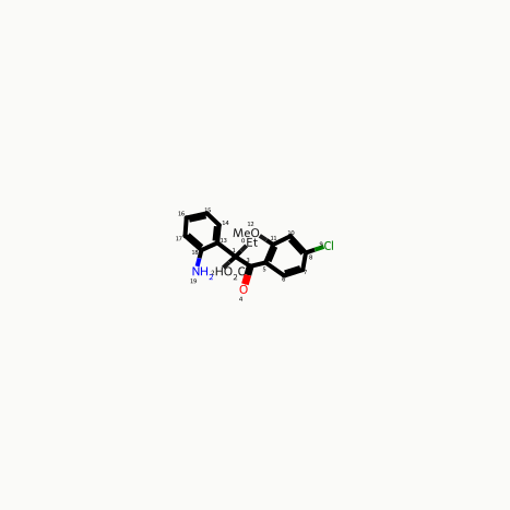 CCC(C(=O)O)(C(=O)c1ccc(Cl)cc1OC)c1ccccc1N